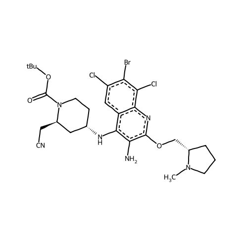 CN1CCC[C@H]1COc1nc2c(Cl)c(Br)c(Cl)cc2c(N[C@H]2CCN(C(=O)OC(C)(C)C)[C@H](CC#N)C2)c1N